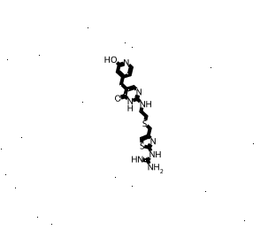 N=C(N)Nc1nc(CSCCNc2ncc(Cc3ccnc(O)c3)c(=O)[nH]2)cs1